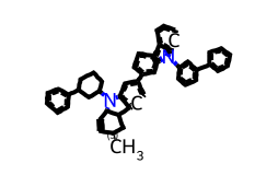 C[C@@H]1C#CC2C(C1)c1ccc(-c3ccc4c5ccccc5n(-c5cccc(-c6ccccc6)c5)c4c3)cc1N2C1CCCC(c2ccccc2)C1